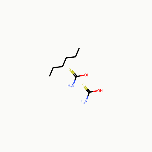 CCCCCC.NC(O)=S.NC(O)=S